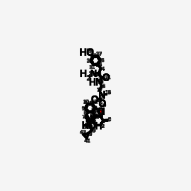 C=C1CC[C@@]2(O)[C@H]3Cc4ccc(OC(=O)N(C)CCNC(=O)[C@@H](N)Cc5ccc(O)cc5)c5c4[C@@]2(CC[N+]3(C)CC2CC2)[C@H]1O5